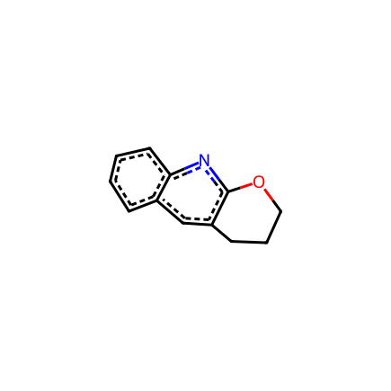 c1ccc2nc3c(cc2c1)CCCO3